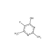 Cc1nc(C)c(F)c(O)n1